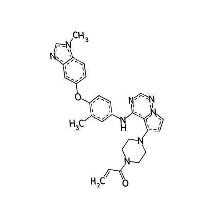 C=CC(=O)N1CCN(c2ccn3ncnc(Nc4ccc(Oc5ccc6c(c5)ncn6C)c(C)c4)c23)CC1